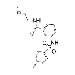 COCCNC(=O)c1cccc(NS(=O)(=O)c2ccc(C)cc2)c1